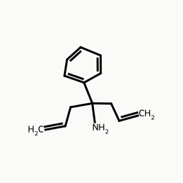 C=CCC(N)(CC=C)c1ccccc1